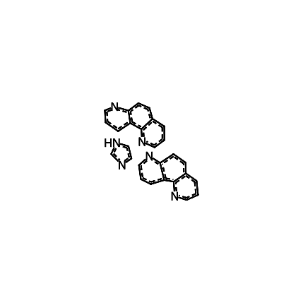 c1c[nH]cn1.c1cnc2c(c1)ccc1ncccc12.c1cnc2c(c1)ccc1ncccc12